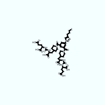 O=C(O)CCC(NC(=O)NC(CC1CCN(C(=O)c2cc(C(=O)N3CCC(CC(NC(=O)NC(CCC(=O)O)C(=O)O)C(=O)O)CC3)cc(-n3cc(CCCF)nn3)c2)CC1)C(=O)O)C(=O)O